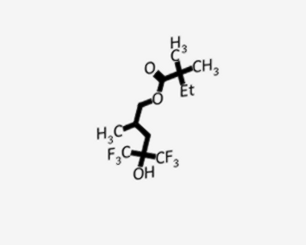 CCC(C)(C)C(=O)OCC(C)CC(O)(C(F)(F)F)C(F)(F)F